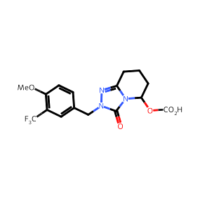 COc1ccc(Cn2nc3n(c2=O)C(OC(=O)O)CCC3)cc1C(F)(F)F